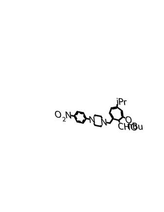 CCCCOC1=CC(C(C)C)=CC=C(CN2CCN(c3ccc([N+](=O)[O-])cc3)CC2)C1C=O